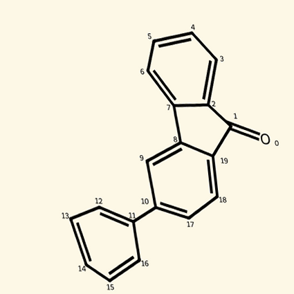 O=C1c2ccccc2-c2cc(-c3ccccc3)ccc21